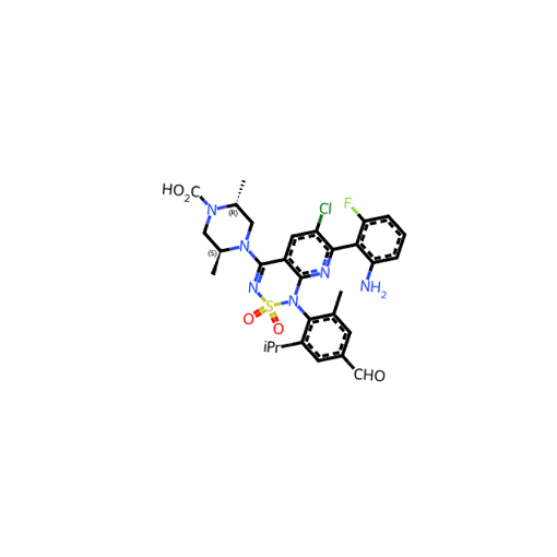 Cc1cc(C=O)cc(C(C)C)c1N1c2nc(-c3c(N)cccc3F)c(Cl)cc2C(N2C[C@@H](C)N(C(=O)O)C[C@@H]2C)=NS1(=O)=O